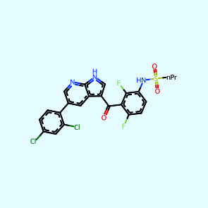 CCCS(=O)(=O)Nc1ccc(F)c(C(=O)c2c[nH]c3ncc(-c4ccc(Cl)cc4Cl)cc23)c1F